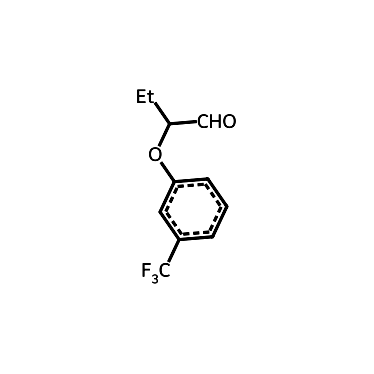 CCC(C=O)Oc1cccc(C(F)(F)F)c1